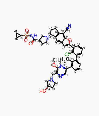 COc1nc(-c2cccc(-c3cccc(-c4cc5cc6c(c(C#N)c5o4)CC[C@H]6N4CC[C@@H](C(=O)NS(=O)(=O)C5CC5)C4)c3Cl)c2C)cnc1CN1CC[C@@H](O)C1